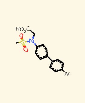 CC(=O)c1ccc(-c2ccc(N(CC(=O)O)S(C)(=O)=O)cc2)cc1